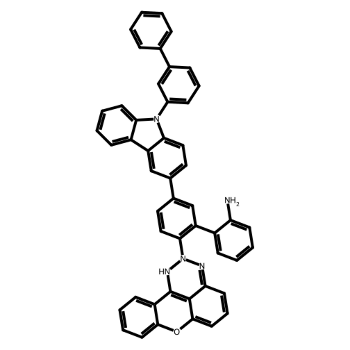 Nc1ccccc1-c1cc(-c2ccc3c(c2)c2ccccc2n3-c2cccc(-c3ccccc3)c2)ccc1N1N=c2cccc3c2=C(N1)c1ccccc1O3